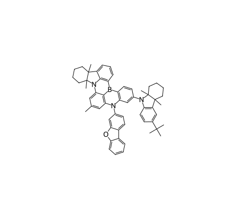 Cc1cc2c3c(c1)N1c4c(cccc4C4(C)CCCCC14C)B3c1ccc(N3c4ccc(C(C)(C)C)cc4C4(C)CCCCC34C)cc1N2c1ccc2c(c1)oc1ccccc12